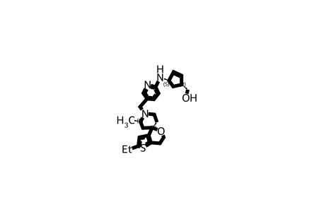 CCc1cc2c(s1)CCO[C@@]21CCN(Cc2ccc(N[C@@H]3C=C[C@H](CO)C3)nc2)[C@@H](C)C1